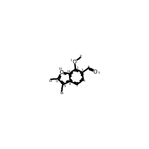 COc1c(C=O)ccc2c(C)c(C)oc12